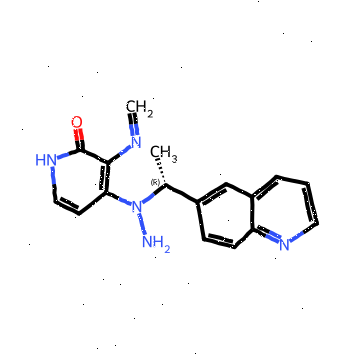 C=Nc1c(N(N)[C@H](C)c2ccc3ncccc3c2)cc[nH]c1=O